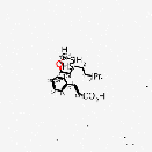 CC(C)CC[SiH]1CCO[SiH2][SiH2]1.O=C(O)C=Cc1ccccc1